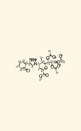 COC(=O)C1=C[C@H](n2cc(-c3ccccc3Cl)nn2)[C@@H](C)[C@H]([C@H](OC(C)=O)C(COC(C)=O)OC(C)=O)O1